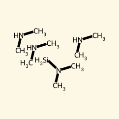 CN(C)[SiH3].CNC.CNC.CNC